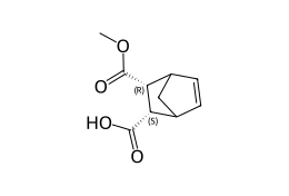 COC(=O)[C@@H]1C2C=CC(C2)[C@@H]1C(=O)O